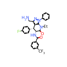 CCN1C(=O)[C@H](NC(=O)c2cccc(C(F)(F)F)c2)[C@H](c2ccc(F)cc2)c2c(CN)nn(-c3ccccc3)c21